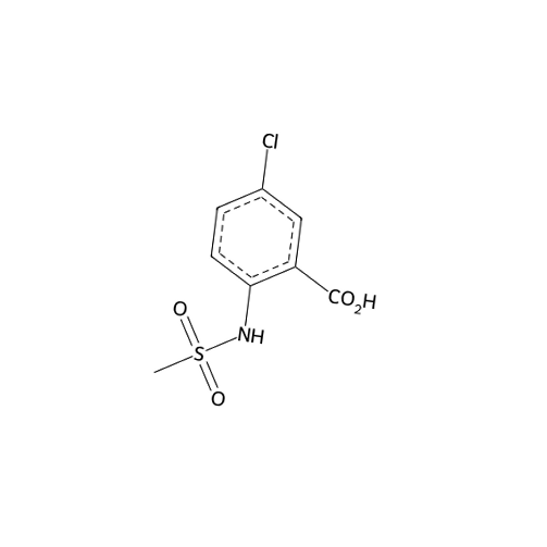 CS(=O)(=O)Nc1ccc(Cl)cc1C(=O)O